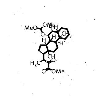 CC[C@H]1[C@@H](OC(OC)OC)[C@@H]2[C@H](CC[C@]3(C)[C@@H]([C@H](C)C(=O)C(=O)OC)CC[C@@H]23)[C@@]2(C)CCCC[C@@H]12